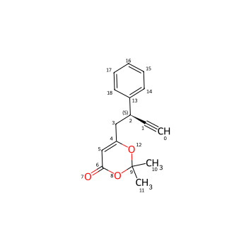 C#C[C@@H](CC1=CC(=O)OC(C)(C)O1)c1ccccc1